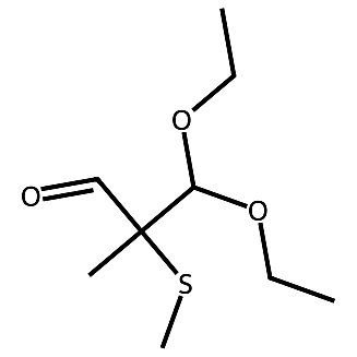 CCOC(OCC)C(C)(C=O)SC